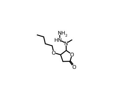 CCCCOC1CC(=O)OC1N(C)NN